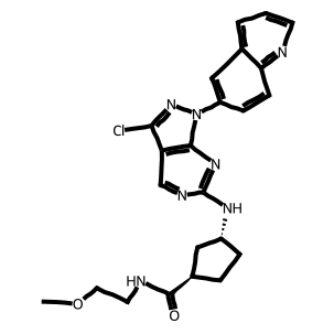 COCCNC(=O)[C@@H]1CC[C@@H](Nc2ncc3c(Cl)nn(-c4ccc5ncccc5c4)c3n2)C1